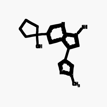 Cn1cc(-c2cn(S)c3ncc(C4(O)CCCC4)cc23)cn1